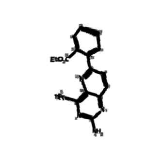 CCCc1nc(N)nc2ccc(-c3ccccc3C(=O)OCC)nc12